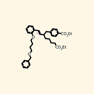 CCOC(=O)CCCCC(/C=C/c1ccccc1OCCCCOCc1ccccc1)Cc1ccc(C(=O)OCC)cc1